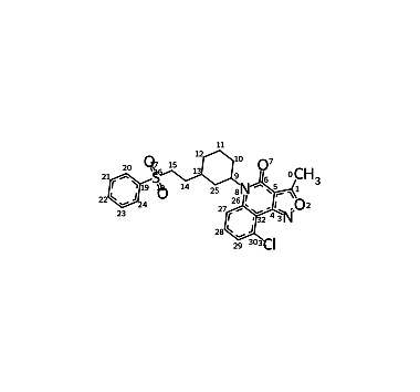 Cc1onc2c1c(=O)n(C1CCCC(CCS(=O)(=O)c3ccccc3)C1)c1cccc(Cl)c21